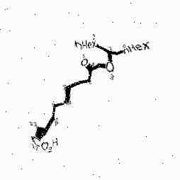 CCCCCCC(CCCCCC)OC(=O)CCCCCCC(=O)O